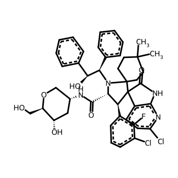 CC1(C)CCC2(CC1)N([C@H](c1ccccc1)[C@@H](O)c1ccccc1)[C@@H](C(=O)N[C@H]1CO[C@H](CO)[C@@H](O)C1)[C@H](c1cccc(Cl)c1F)C21C(=O)Nc2nc(Cl)ccc21